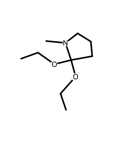 CCOC1(OCC)CCCN1C